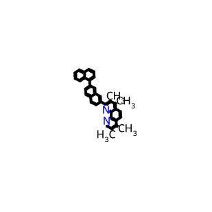 Cc1cnc2c(ccc3c(C)c(C)c(-c4ccc5ccc(-c6cccc7ccccc67)cc5c4)nc32)c1C